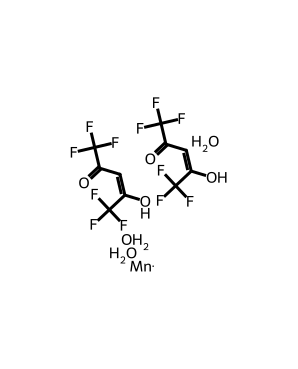 O.O.O.O=C(/C=C(/O)C(F)(F)F)C(F)(F)F.O=C(/C=C(/O)C(F)(F)F)C(F)(F)F.[Mn]